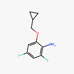 Nc1c(F)cc(F)cc1OCC1CC1